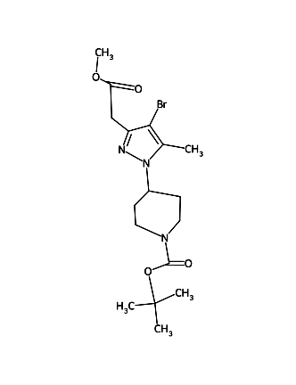 COC(=O)Cc1nn(C2CCN(C(=O)OC(C)(C)C)CC2)c(C)c1Br